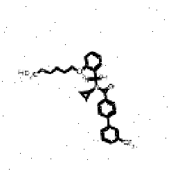 [2H]C([2H])(c1ccccc1OCCCCCC(=O)O)N(C(=O)c1ccc(-c2cccc(C(F)(F)F)c2)cc1)C1CC1